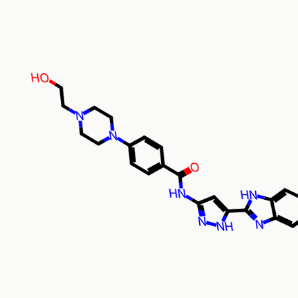 O=C(Nc1cc(-c2nc3ccccc3[nH]2)[nH]n1)c1ccc(N2CCN(CCO)CC2)cc1